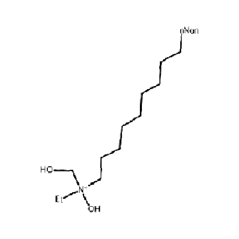 CCCCCCCCCCCCCCCCCC[N+](O)(CC)CO